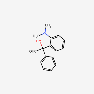 CN(C)c1ccccc1C(O)(C=O)c1ccccc1